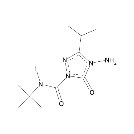 CC(C)c1nn(C(=O)N(I)C(C)(C)C)c(=O)n1N